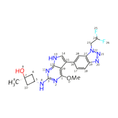 COc1nc(N[C@H]2C[C@](C)(O)C2)nc2[nH]cc(-c3ccc4nnn(CC(F)F)c4c3)c12